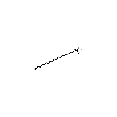 CC(=O)OCCCCCCCCCCCCCC/C=C/CCBr